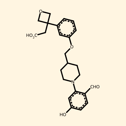 O=Cc1ccc(O)cc1N1CCC(COc2cccc(C3(CC(=O)O)COC3)c2)CC1